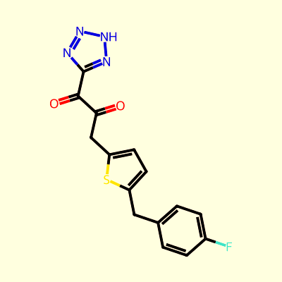 O=C(Cc1ccc(Cc2ccc(F)cc2)s1)C(=O)c1nn[nH]n1